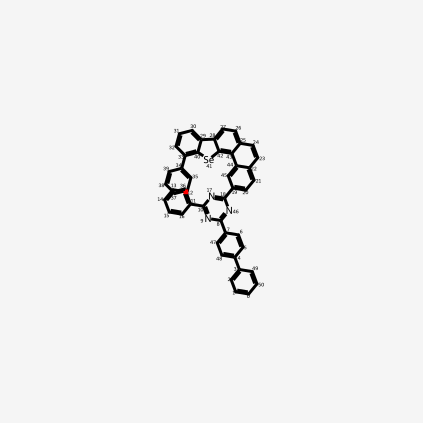 c1ccc(-c2ccc(-c3nc(-c4ccccc4)nc(-c4ccc5ccc6ccc7c8cccc(-c9ccccc9)c8[se]c7c6c5c4)n3)cc2)cc1